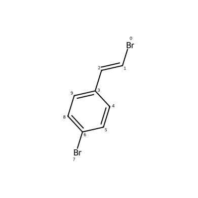 BrC=Cc1ccc(Br)cc1